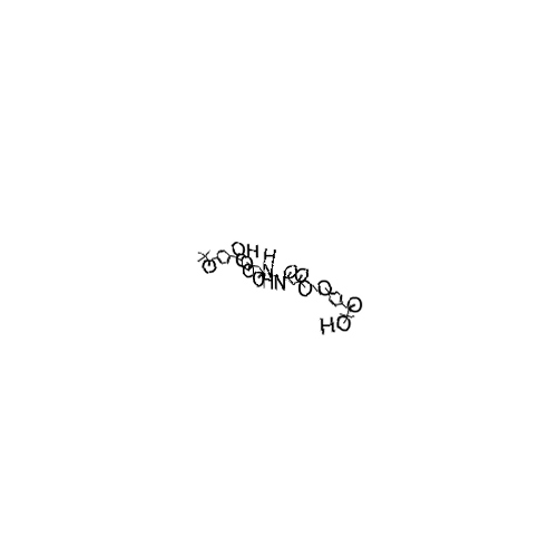 CC(C)(C)C(=O)c1ccc(C(O)COC(=O)CC(=O)NCCNC(=O)CC(=O)OCCOc2ccc(C(=O)C(C)(C)O)cc2)cc1